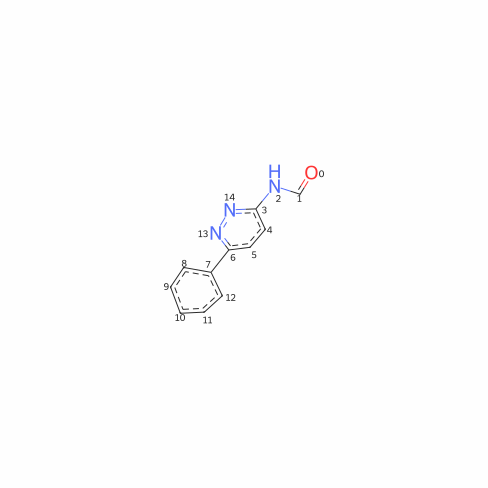 O=CNc1ccc(-c2ccccc2)nn1